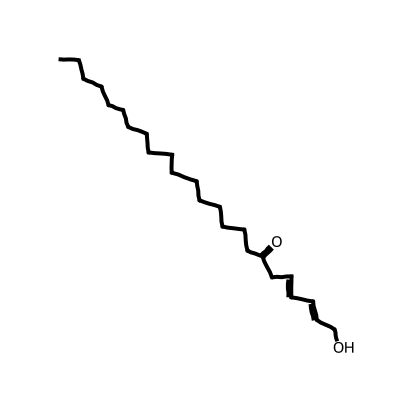 CCCCCCCCCCCCCCCCCC(=O)C/C=C/C=C/CO